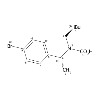 CC[C@H](C)CN(C(=O)O)[C@H](C)c1ccc(Br)cc1